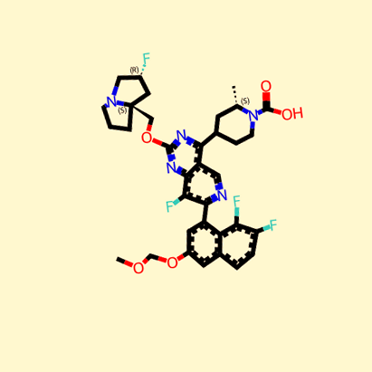 COCOc1cc(-c2ncc3c(C4CCN(C(=O)O)[C@@H](C)C4)nc(OC[C@@]45CCCN4C[C@H](F)C5)nc3c2F)c2c(F)c(F)ccc2c1